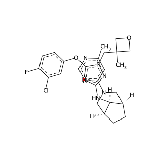 Cc1cc(N2C[C@H]3CC[C@@H](C2)[C@H]3Nc2nc(Oc3ccc(F)c(Cl)c3)n(CC3(C)COC3)n2)ncn1